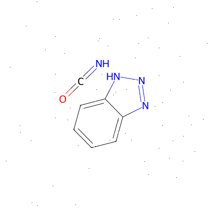 N=C=O.c1ccc2[nH]nnc2c1